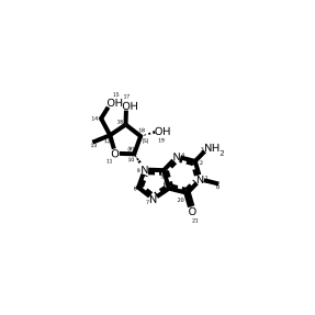 Cn1c(N)nc2c(ncn2[C@@H]2OC(C)(CO)C(O)[C@@H]2O)c1=O